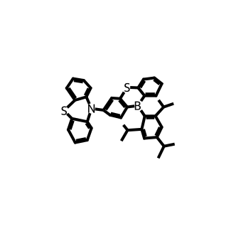 CC(C)c1cc(C(C)C)c(B2c3ccccc3Sc3cc(N4c5ccccc5Sc5ccccc54)ccc32)c(C(C)C)c1